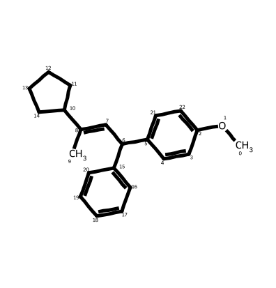 COc1ccc(C(C=C(C)C2CCCC2)c2ccccc2)cc1